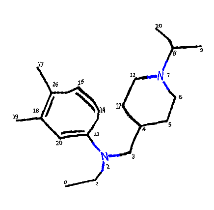 CCN(CC1CCN(C(C)C)CC1)c1ccc(C)c(C)c1